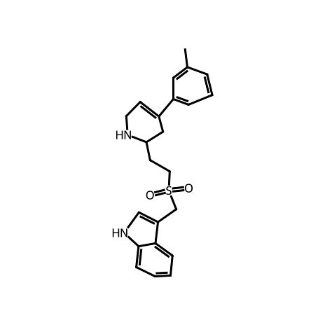 Cc1cccc(C2=CCNC(CCS(=O)(=O)Cc3c[nH]c4ccccc34)C2)c1